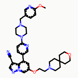 COc1ccc(CN2CCN(c3ccc(-c4cc(OCCN5CCC6(CCOCC6)CC5)cn5ncc(C#N)c45)cn3)CC2)cn1